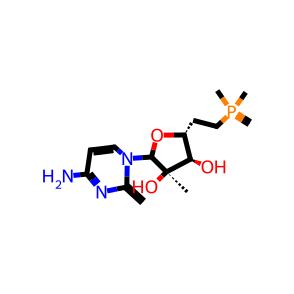 C=C1N=C(N)C=CN1C1O[C@H](CCP(=C)(C)C)[C@@H](O)[C@@]1(C)O